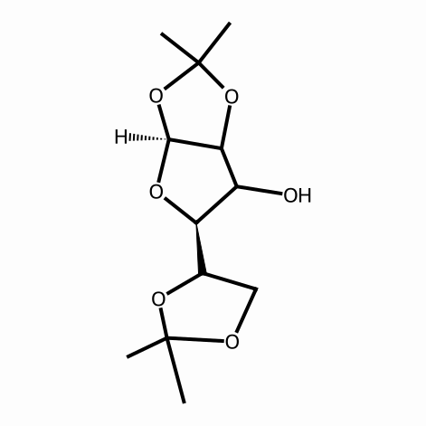 CC1(C)OCC([C@H]2O[C@H]3OC(C)(C)OC3C2O)O1